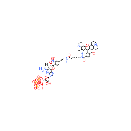 C[C@H](Oc1cc(N)nc2c1ncn2[C@H]1C[C@@H](O)[C@@H](COP(=O)(O)OP(=O)(O)OP(=O)(O)O)O1)c1ccc(C#CCNC(=O)CCCCCNC(=O)c2ccc(C=O)c(C3=c4cc5c6c(c4Oc4c3cc3c7c4CCCN7CCC3)CCC[N+]=6CCC5)c2)cc1[N+](=O)[O-]